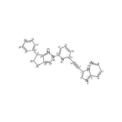 C(#Cc1cnc2cccnn12)c1cccc(-n2cc3c(n2)C(c2ccccc2)CC3)n1